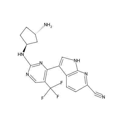 N#Cc1ccc2c(-c3nc(N[C@H]4CC[C@H](N)C4)ncc3C(F)(F)F)c[nH]c2n1